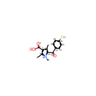 Cc1c(C(=O)O)c(C)n(C)c1C(=O)c1ccc(F)cc1